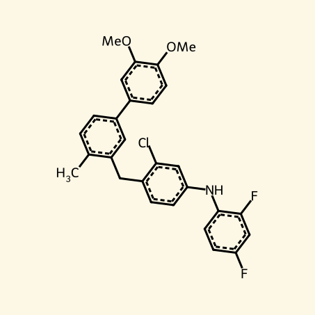 COc1ccc(-c2ccc(C)c(Cc3ccc(Nc4ccc(F)cc4F)cc3Cl)c2)cc1OC